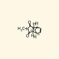 CN1C(=O)[C@@H]2[C@H](C1=O)[C@H]1C=C[C@@H]2C1